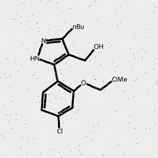 CCCCc1n[nH]c(-c2ccc(Cl)cc2OCOC)c1CO